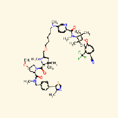 CO[C@@H]1CC(C(=O)N(C)Cc2ccc(-c3scnc3C)cc2)N(C(=O)[C@H]2N(C)C(COCCCCCN(C)c3ccc(C(=O)N(C)[C@H]4C(C)(C)[C@H](Oc5ccc(C#N)c(C(F)(F)F)c5)C4(C)C)nc3)=CC2(C)C)C1